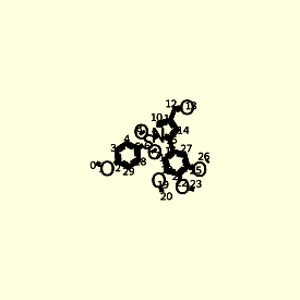 COc1ccc(S(=O)(=O)n2cc(C=O)cc2-c2cc(OC)c(OC)c(OC)c2)cc1